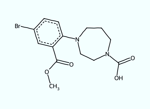 COC(=O)c1cc(Br)ccc1N1CCCN(C(=O)O)CC1